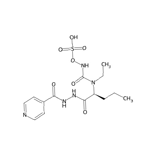 CCC[C@@H](C(=O)NNC(=O)c1ccncc1)N(CC)C(=O)NOS(=O)(=O)O